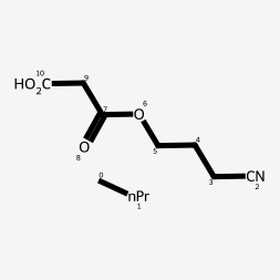 CCCC.N#CCCCOC(=O)CC(=O)O